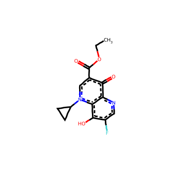 CCOC(=O)c1cn(C2CC2)c2c(O)c(F)cnc2c1=O